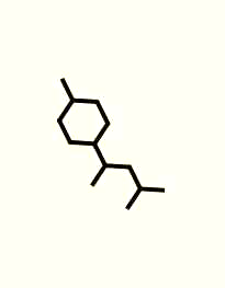 CC(C)CC(C)[C]1CCC(C)CC1